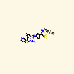 CNc1nc(-c2ccc(CNC3=CC(C)=N/C(=C(/C(C)=N)c4cnc(C)cc4C)N3)cc2)cs1